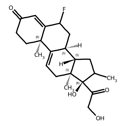 CC1C[C@H]2[C@@H]3CC(F)C4=CC(=O)CC[C@]4(C)C3=CC[C@]2(C)[C@@]1(O)C(=O)CO